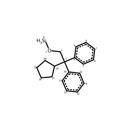 [SiH3]OCC(c1ccccc1)(c1ccccc1)C1CCCC1